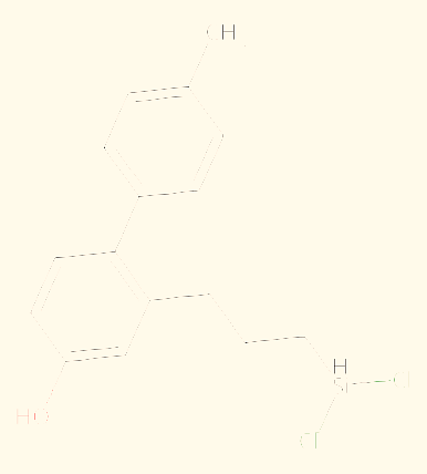 Cc1ccc(-c2ccc(O)cc2CCC[SiH](Cl)Cl)cc1